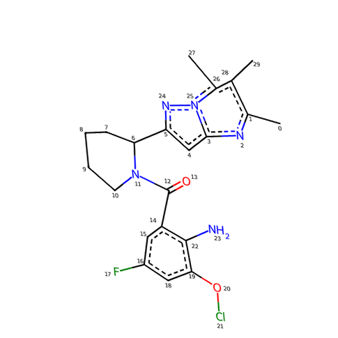 Cc1nc2cc(C3CCCCN3C(=O)c3cc(F)cc(OCl)c3N)nn2c(C)c1C